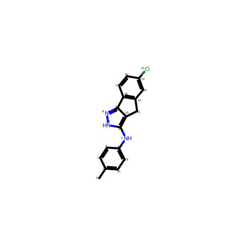 Cc1ccc(Nc2[nH]nc3c2Cc2cc(Cl)ccc2-3)cc1